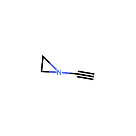 C#CN1CC1